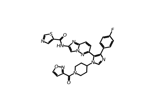 O=C(Nc1cn2nc(-c3c(-c4ccc(F)cc4)ncn3C3CCN(C(=O)c4ccon4)CC3)ccc2n1)c1cncs1